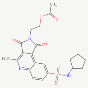 CC(=O)OCCN1C(=O)c2c(C)nc3ccc(S(=O)(=O)NC4CCCC4)cc3c2C1=O